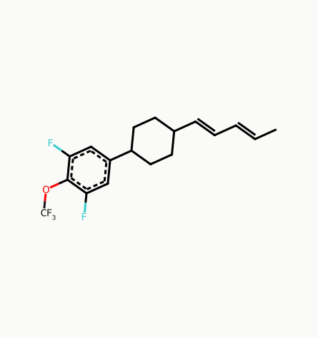 C/C=C/C=C/C1CCC(c2cc(F)c(OC(F)(F)F)c(F)c2)CC1